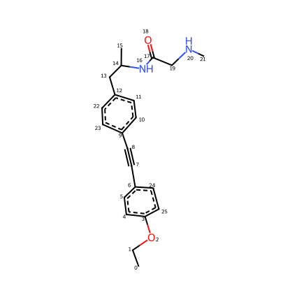 CCOc1ccc(C#Cc2ccc(CC(C)NC(=O)CNC)cc2)cc1